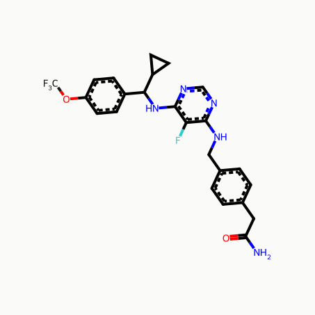 NC(=O)Cc1ccc(CNc2ncnc(NC(c3ccc(OC(F)(F)F)cc3)C3CC3)c2F)cc1